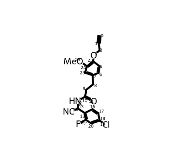 C#CCOc1ccc(CCC(=O)NC(C#N)c2ccc(Cl)cc2F)cc1OC